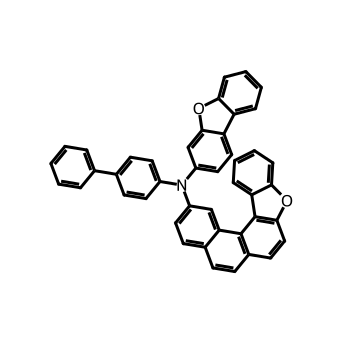 c1ccc(-c2ccc(N(c3ccc4c(c3)oc3ccccc34)c3ccc4ccc5ccc6oc7ccccc7c6c5c4c3)cc2)cc1